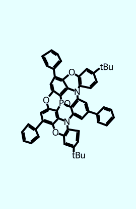 CC(C)(C)c1ccc2c(c1)Oc1c(-c3ccccc3)cc3c4c1N2c1cc(-c2ccccc2)cc2c1P4(=O)c1c(cc(-c4ccccc4)c4c1N2c1ccc(C(C)(C)C)cc1O4)O3